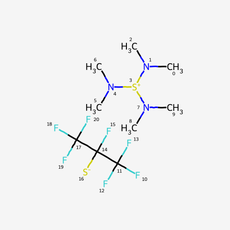 CN(C)[S+](N(C)C)N(C)C.FC(F)(F)C(F)([S-])C(F)(F)F